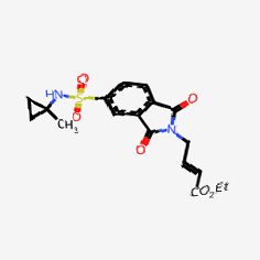 CCOC(=O)/C=C/CN1C(=O)c2ccc(S(=O)(=O)NC3(C)CC3)cc2C1=O